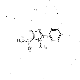 Cn1c(-c2ccccc2)nnc1[S+](C)[O-]